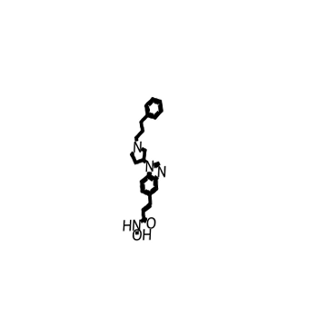 O=C(/C=C/c1ccc2c(c1)ncn2C1CCN(CCCc2ccccc2)C1)NO